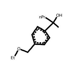 CCCC(C)(O)c1ccc(COCC)cc1